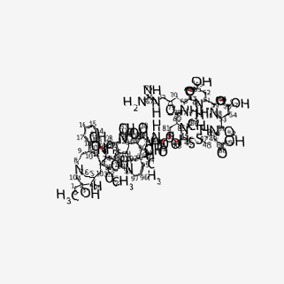 CC[C@]1(O)C[C@H]2CN(CCc3c([nH]c4ccccc34)[C@@](C(=O)OC)(c3cc4c(cc3OC)N(C)[C@H]3[C@@](O)(C(=O)NNC(=O)OCCSSC[C@H](NC(=O)[C@H](CC(=O)O)NC(=O)[C@H](CC(=O)O)NC(=O)[C@H](CCCNC(=N)N)NC(=O)[C@H](CC(=O)O)NC)C(=O)O)[C@H](O)[C@]5(CC)C=CCN6CC[C@]43[C@@H]65)C2)C1